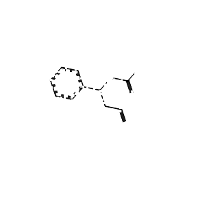 C=CCC(NC(=O)O)c1ccccc1